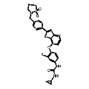 O=C(Nc1ccc(Oc2ccnc3cc(-c4ccc(CN5CCCS5(=O)=O)cn4)sc23)c(F)c1)NC1CC1